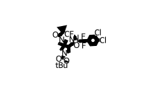 CC(C)(C)OC(=O)N1CC(c2nnc(C(F)(F)c3ccc(Cl)c(Cl)c3)o2)C2(C1)CN(C(=O)C1(C(F)(F)F)CC1)C2